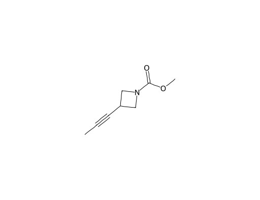 CC#CC1CN(C(=O)OC)C1